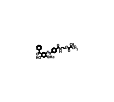 C=C(C)C(=O)OCCNC(=O)c1ccc(/N=N/c2cc(C(=O)c3ccccc3)c(O)cc2OC)cc1